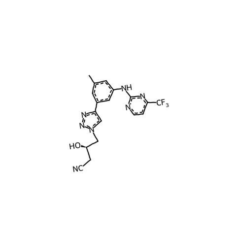 Cc1cc(Nc2nccc(C(F)(F)F)n2)cc(-c2cn(C[C@H](O)CC#N)nn2)c1